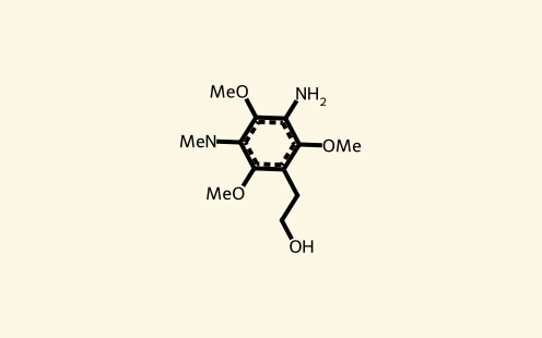 CNc1c(OC)c(N)c(OC)c(CCO)c1OC